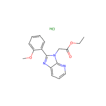 CCOC(=O)Cn1c(-c2ccccc2OC)nc2cccnc21.Cl